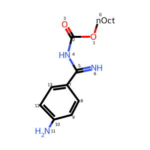 CCCCCCCCOC(=O)NC(=N)c1ccc(N)cc1